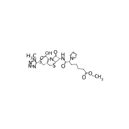 CCOC(=O)CCCCC(C(=O)NC1C(=O)N2C(C(=O)O)=C(CSc3nnnn3C)CSC12)n1cccc1